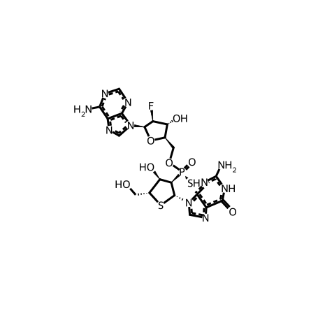 Nc1nc2c(ncn2[C@@H]2S[C@H](CO)[C@@H](O)[C@H]2[P@](=O)(S)OC[C@H]2O[C@@H](n3cnc4c(N)ncnc43)[C@@H](F)[C@@H]2O)c(=O)[nH]1